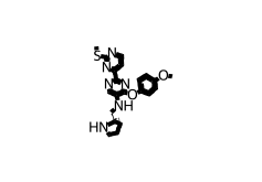 COc1ccc(Oc2nc(-c3ccnc(SC)n3)ncc2NC[C@@H]2CCCN2)cc1